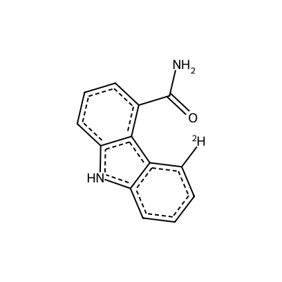 [2H]c1cccc2[nH]c3cccc(C(N)=O)c3c12